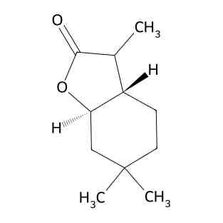 CC1C(=O)O[C@@H]2CC(C)(C)CC[C@@H]12